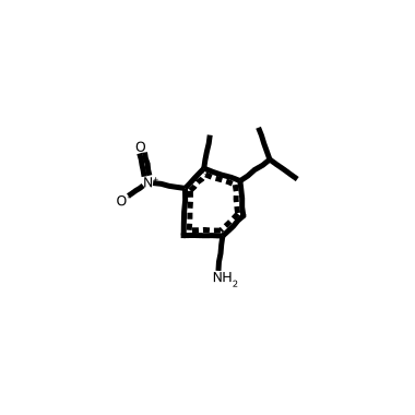 Cc1c(C(C)C)cc(N)cc1[N+](=O)[O-]